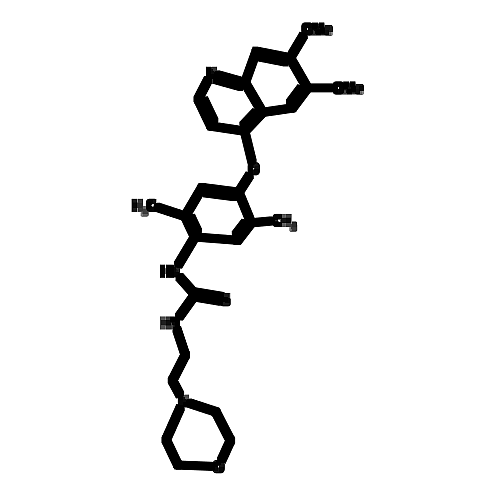 COc1cc2nccc(Oc3cc(C)c(NC(=S)NCCN4CCOCC4)cc3C)c2cc1OC